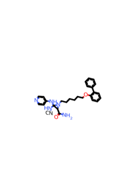 N#CNC1(Nc2ccncc2)C(C(N)=O)N1CCCCCCOc1ccccc1-c1ccccc1